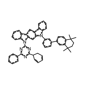 CC1(C)CCC(C)(C)c2cc(-c3cccc(-n4c5ccccc5c5cc6c7ccccc7n(-c7nc(-c8ccccc8)nc(C8C=CC=CC8)n7)c6cc54)c3)ccc21